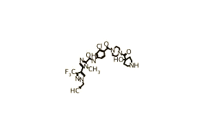 C#CCn1cc(-c2cnc(C(=O)Nc3ccc(C(=O)N4CCN(C(=O)C5(O)CCNCC5)CC4)c(Cl)c3)n2C)c(C(F)(F)F)n1